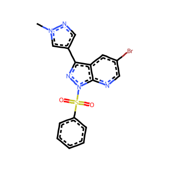 Cn1cc(-c2nn(S(=O)(=O)c3ccccc3)c3ncc(Br)cc23)cn1